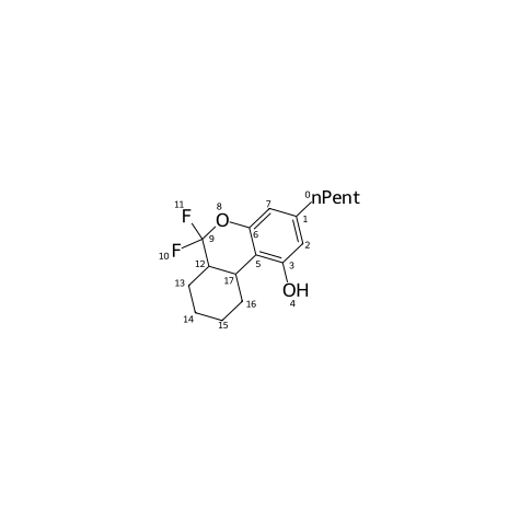 CCCCCc1cc(O)c2c(c1)OC(F)(F)C1CCCCC21